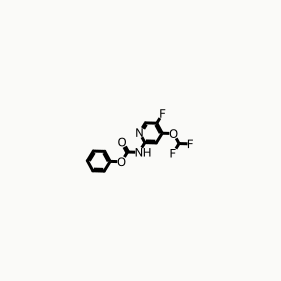 O=C(Nc1cc(OC(F)F)c(F)cn1)Oc1ccccc1